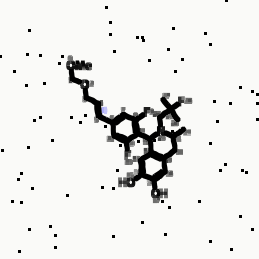 COCOC/C=C/c1cc(F)c(C2c3cc(O)c(O)cc3CC(C)N2CC(C)(C)F)c(F)c1